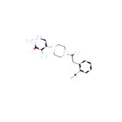 CC(F)(F)c1ccccc1CC(=O)N1CCN(c2cn[nH]c(=O)c2Cl)CC1